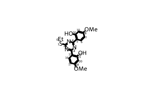 CCSc1nc(-c2ccc(OC)cc2O)nc(-c2ccc(OC)cc2O)n1